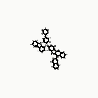 c1ccc(-c2ccc(N(c3ccc4c(c3)oc3c(-c5ccc6ccccc6c5)c5ccccc5cc34)c3cccc4c3sc3ccccc34)cc2)cc1